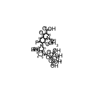 COc1c(N2CC3CCCN(C(=O)OC(C)(OP(O)O)OP(O)O)C3C2)c(F)cc2c(=O)c(C(=O)O)cn(C3CC3)c12.P.P